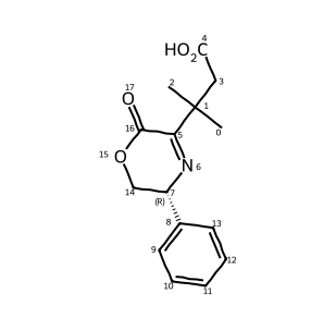 CC(C)(CC(=O)O)C1=N[C@H](c2ccccc2)COC1=O